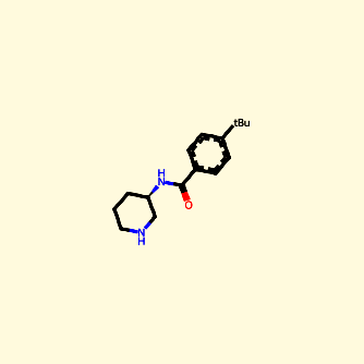 CC(C)(C)c1ccc(C(=O)N[C@@H]2CCCNC2)cc1